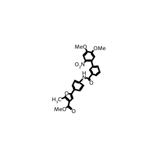 COC(=O)c1cc(-c2ccc(NC(=O)c3cccc(-c4cc(OC)c(OC)cc4[N+](=O)[O-])c3)cc2)oc1C